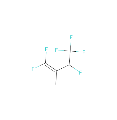 CC(=C(F)F)C(F)C(F)(F)F